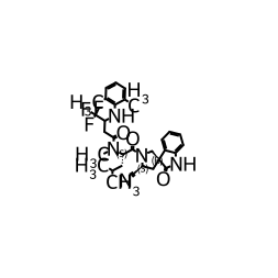 Cc1cccc(C)c1NC(CC(=O)N(C)[C@@H](CC(C)C)C(=O)N1C[C@]2(C[C@H]1C#N)C(=O)Nc1ccccc12)C(F)(F)F